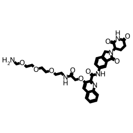 NCOCCOCCOCCNC(=O)COc1cc2ccccc2nc1C(=O)Nc1ccc2c(c1)C(=O)N(C1CCC(=O)NC1=O)C2